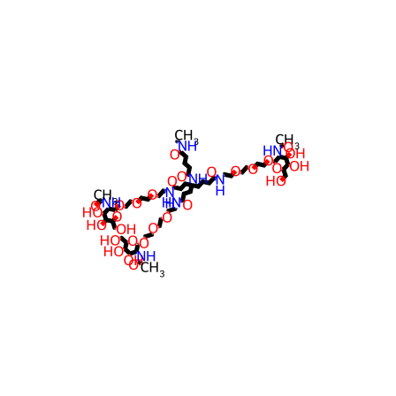 CCNC(=O)CCCC(=O)NC(CCCC(=O)NCCOCCOCCOC1OC(CO)C(O)C(O)C1NC(C)=O)(CCC(=O)NCCOCCOCCOC1OC(CO)C(O)C(O)C1NC(C)=O)CCC(=O)NCCOCCOCCOC1OC(CO)C(O)C(O)C1NC(C)=O